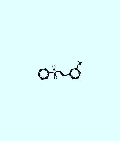 O=S(=O)(C=Cc1cccc(Br)c1)c1ccccc1